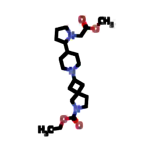 CCOC(=O)N1CCC2(CC(N3CCC(C4CCCN4CC(=O)OC)CC3)C2)C1